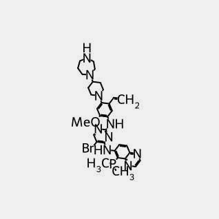 C=Cc1cc(Nc2ncc(Br)c(Nc3ccc4nccnc4c3P(C)C)n2)c(OC)cc1N1CCC(N2CCCNCC2)CC1